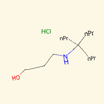 CCCC(CCC)(CCC)NCCCO.Cl